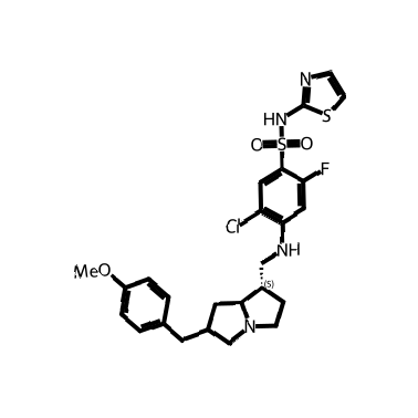 COc1ccc(CC2CC3[C@H](CNc4cc(F)c(S(=O)(=O)Nc5nccs5)cc4Cl)CCN3C2)cc1